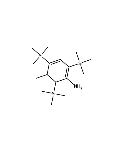 CC1C([Si](C)(C)C)=CC([Si](C)(C)C)=C(N)C1[Si](C)(C)C